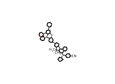 CC1(C)c2cc(-c3ccc(N(c4ccccc4)c4c(F)cc(-c5ccccc5)cc4-c4ccccc4)cc3)ccc2-c2c1cc(N(c1ccccc1)c1ccc(C#N)cc1)c1ccccc21